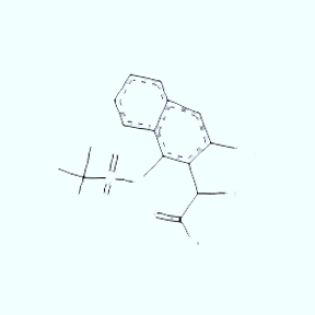 Cc1cc2ccccc2c(OS(=O)(=O)C(F)(F)F)c1C(O)C(=O)O